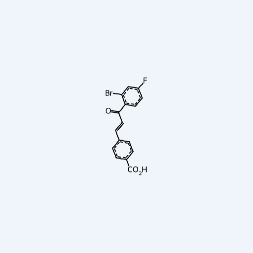 O=C(O)c1ccc(C=CC(=O)c2ccc(F)cc2Br)cc1